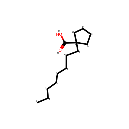 CCCCCCCCC1(C(=O)O)CCCC1